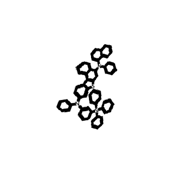 c1ccc(N(c2cccc([Si](c3ccccc3)(c3ccccc3)c3ccccc3)c2)c2ccc3c(c2)sc2cc(N(c4ccccc4)c4cccc5ccccc45)c4ccccc4c23)cc1